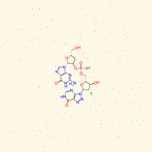 Nc1nc2c(ncn2[C@@H]2O[C@H](CO)C[C@H]2OP(=O)(S)OC[C@H]2OC(n3nnc4c(=O)[nH]cnc43)[C@@H](F)[C@@H]2O)c(=O)[nH]1